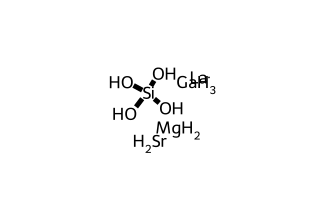 O[Si](O)(O)O.[GaH3].[La].[MgH2].[SrH2]